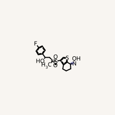 CN(CC(O)c1ccc(F)cc1)S(=O)(=O)c1csc2c1CCC/C2=N/O